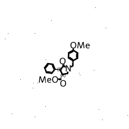 COC(=O)[C@H]1CN(Cc2ccc(OC)cc2)C(=O)[C@@H]1c1ccccc1